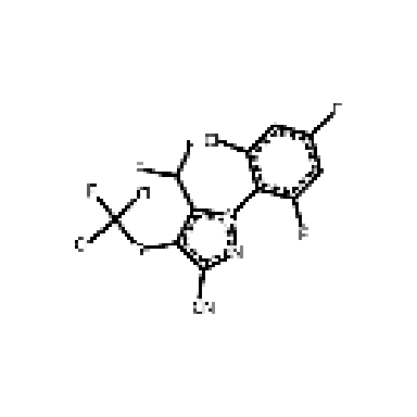 N#Cc1nn(-c2c(F)cc(F)cc2Cl)c(C(F)F)c1SC(F)(Cl)Cl